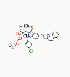 CC(C)(C)Sc1c(CC(C)(C)C(=O)OCO[N+](=O)[O-])n(Cc2ccc(Cl)cc2)c2ccc(OCc3ccc4ccccc4n3)cc12